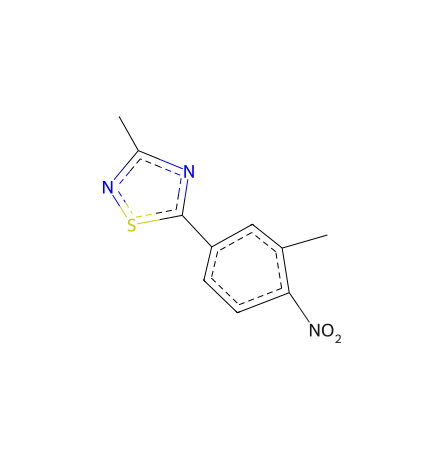 Cc1nsc(-c2ccc([N+](=O)[O-])c(C)c2)n1